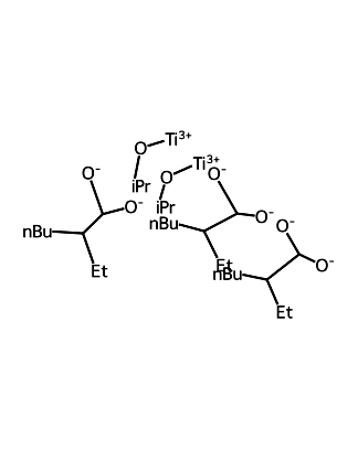 CC(C)[O][Ti+3].CC(C)[O][Ti+3].CCCCC(CC)C([O-])[O-].CCCCC(CC)C([O-])[O-].CCCCC(CC)C([O-])[O-]